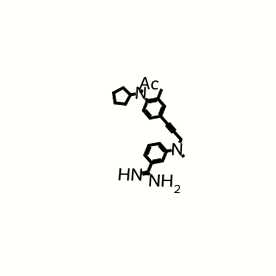 CC(=O)N(c1ccc(C#CCN(C)c2cccc(C(=N)N)c2)cc1C)C1CCCC1